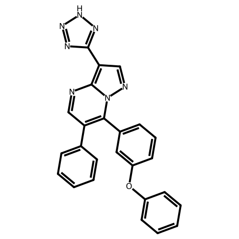 c1ccc(Oc2cccc(-c3c(-c4ccccc4)cnc4c(-c5nn[nH]n5)cnn34)c2)cc1